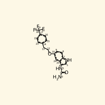 NC(=O)Nc1c[nH]c2ccc(OCCc3ccc(C(F)(F)F)cc3)cc12